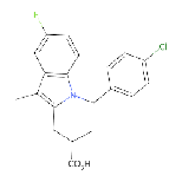 Cc1c(CC(C)C(=O)O)n(Cc2ccc(Cl)cc2)c2ccc(F)cc12